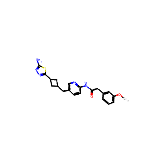 Nc1nnc(C2CC(Cc3ccc(NC(=O)Cc4cccc(OC(F)(F)F)c4)nc3)C2)s1